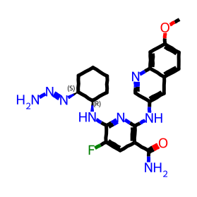 COc1ccc2cc(Nc3nc(N[C@@H]4CCCC[C@@H]4N=NN)c(F)cc3C(N)=O)cnc2c1